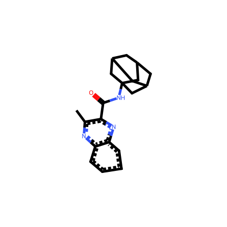 Cc1nc2ccccc2nc1C(=O)NC12CC3CC(CC(C3)C1)C2